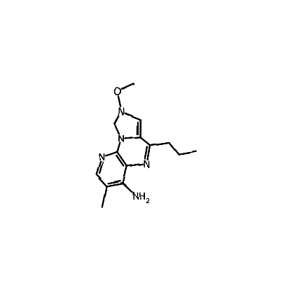 CCCC1=Nc2c(ncc(C)c2N)N2CN(OC)C=C12